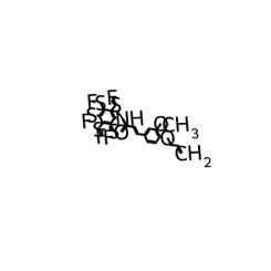 C=CCOc1ccc(C=CC(=O)Nc2c(SF)c(SF)c(SF)c(SF)c2SF)cc1OC